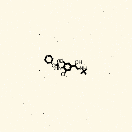 CC(C)(C)NCC(O)c1cc(Cl)c(NC(=O)OC2CCCCC2)c(Cl)c1